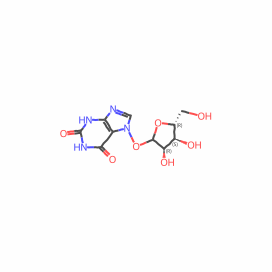 O=c1[nH]c(=O)c2c(ncn2OC2O[C@H](CO)[C@@H](O)[C@H]2O)[nH]1